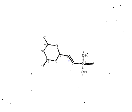 C=P(O)(O)/C=C/C1CN(C)CC(C)O1